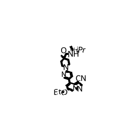 CCOc1cc(-c2ccc(N3CCC(C)(C(=O)N[C@H](C)C(C)C)CC3)nc2)c2c(C#N)cnn2c1